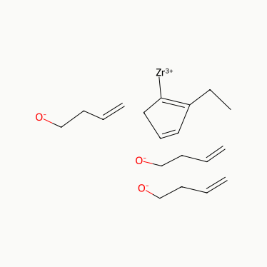 C=CCC[O-].C=CCC[O-].C=CCC[O-].CCC1=[C]([Zr+3])CC=C1